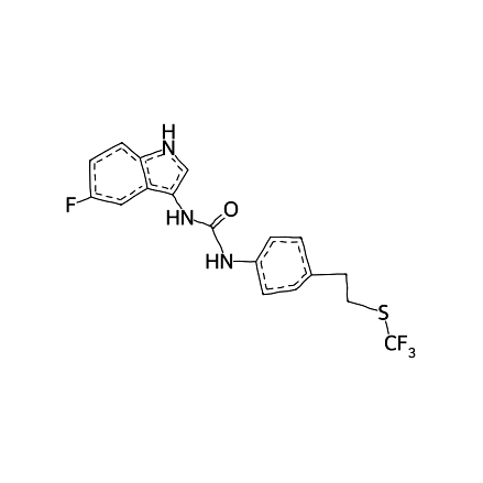 O=C(Nc1ccc(CCSC(F)(F)F)cc1)Nc1c[nH]c2ccc(F)cc12